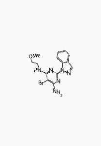 COCCNc1nc(-n2ncc3ccccc32)nc(N)c1Br